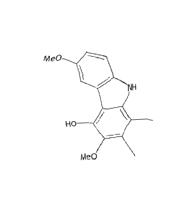 COc1ccc2[nH]c3c(C)c(C)c(OC)c(O)c3c2c1